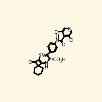 CSC1=C(N[C@@H](Cc2ccc(NC(=O)c3c(Cl)cncc3Cl)cc2)C(=O)O)C2(CCCCC2)C1=O